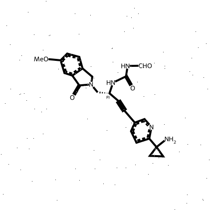 COc1ccc2c(c1)C(=O)N(C[C@@H](C#Cc1ccc(C3(N)CC3)nc1)NC(=O)NC=O)C2